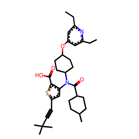 CCc1cc(OC2CCC(N(C(=O)C3CCC(C)CC3)c3cc(C#CC(C)(C)C)sc3C(=O)O)CC2)cc(CC)n1